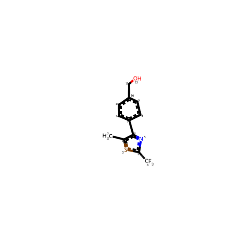 Cc1sc(C(F)(F)F)nc1-c1ccc(CO)cc1